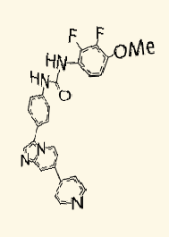 COc1ccc(NC(=O)Nc2ccc(-c3cnc4cc(-c5ccncc5)ccn34)cc2)c(F)c1F